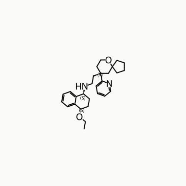 CCO[C@H]1CC[C@H](NCC[C@@]2(c3ccccn3)CCOC3(CCCC3)C2)c2ccccc21